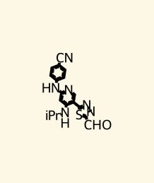 CC(C)Nc1cc(Nc2ccc(C#N)cc2)ncc1-c1nnc(C=O)s1